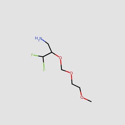 COCCOCOC(CN)C(F)F